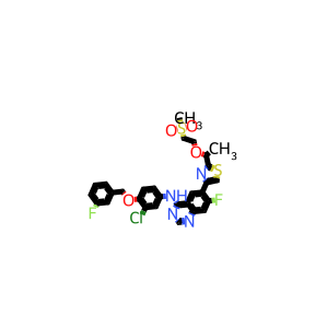 CC(OCCS(C)(=O)=O)c1nc(-c2cc3c(Nc4ccc(OCc5cccc(F)c5)c(Cl)c4)ncnc3cc2F)cs1